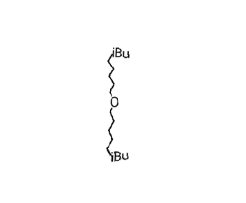 CCC(C)CCCCCOCCCCCC(C)CC